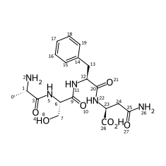 C[C@H](N)C(=O)N[C@@H](CO)C(=O)N[C@@H](Cc1ccccc1)C(=O)N[C@@H](CC(N)=O)C(=O)O